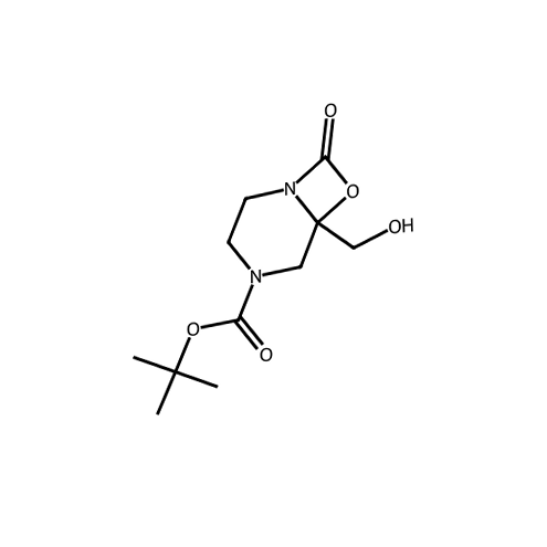 CC(C)(C)OC(=O)N1CCN2C(=O)OC2(CO)C1